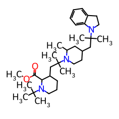 COC(=O)C1C(CC(C)(C)N2CCC(CC(C)(C)N3CCc4ccccc43)CC2C)CCCN1C(C)(C)C